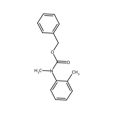 Cc1ccccc1N(C)C(=O)OCc1ccccc1